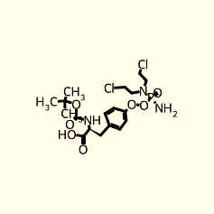 CC(C)(C)OC(=O)N[C@@H](Cc1ccc(OOP(N)(=O)N(CCCl)CCCl)cc1)C(=O)O